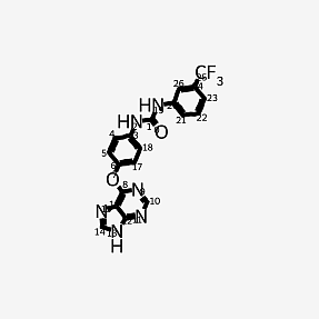 O=C(Nc1ccc(Oc2ncnc3[nH]cnc23)cc1)Nc1cccc(C(F)(F)F)c1